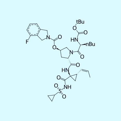 C/C=C\[C@@H]1C[C@]1(NC(=O)[C@@H]1C[C@@H](OC(=O)N2Cc3cccc(F)c3C2)CN1C(=O)[C@H](CCCC)NC(=O)OC(C)(C)C)C(=O)NS(=O)(=O)C1CC1